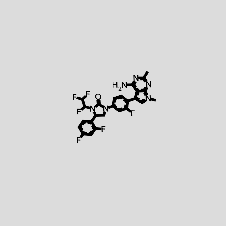 Cc1nc(N)c2c(-c3ccc(N4CC(c5ccc(F)cc5F)N(C(F)C(F)F)C4=O)cc3F)cn(C)c2n1